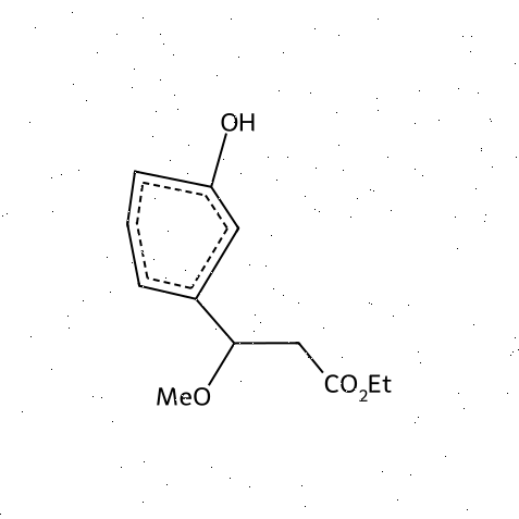 CCOC(=O)CC(OC)c1cccc(O)c1